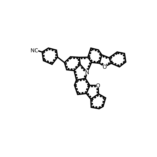 N#Cc1ccc(-c2cc3c4ccc5c6ccccc6oc5c4n4c3c(c2)c2ccc3c5ccccc5oc3c24)cc1